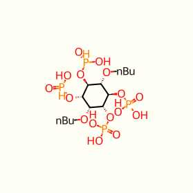 CCCCO[C@@H]1[C@H](O[PH](=O)O)[C@@H](O[PH](=O)O)[C@H](OCCCC)[C@@H](OP(=O)(O)O)[C@@H]1OP(=O)(O)O